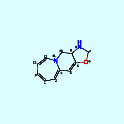 C1=CC=C2C=C3OCNC3CN2C=C1